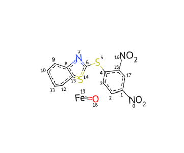 O=[N+]([O-])c1ccc(Sc2nc3ccccc3s2)c([N+](=O)[O-])c1.[O]=[Fe]